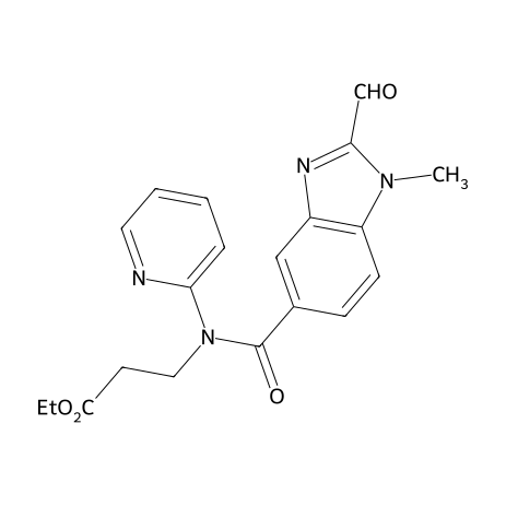 CCOC(=O)CCN(C(=O)c1ccc2c(c1)nc(C=O)n2C)c1ccccn1